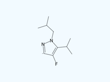 CC(C)Cn1n[c]c(F)c1C(C)C